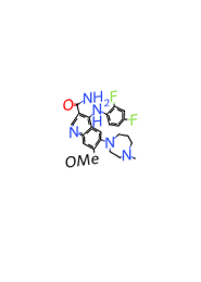 COc1cc2ncc(C(N)=O)c(Nc3ccc(F)cc3F)c2cc1N1CCCN(C)CC1